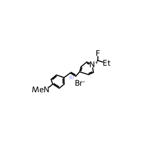 CCC(F)[n+]1ccc(/C=C/c2ccc(NC)cc2)cc1.[Br-]